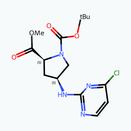 COC(=O)[C@@H]1C[C@H](Nc2nccc(Cl)n2)CN1C(=O)OC(C)(C)C